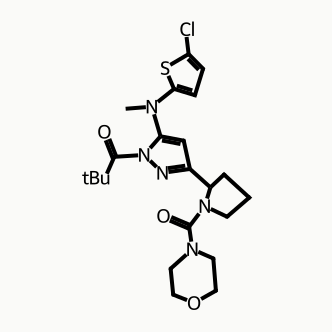 CN(c1ccc(Cl)s1)c1cc(C2CCCN2C(=O)N2CCOCC2)nn1C(=O)C(C)(C)C